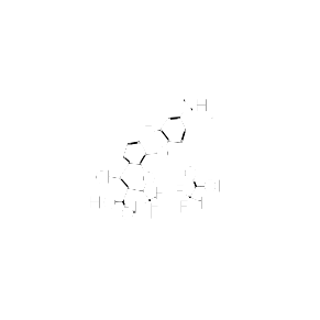 Nc1ccc(Oc2cccc3c2OC(C(F)(F)F)C(C(=O)O)=C3Cl)c(F)c1.O=C(O)C(F)(F)F